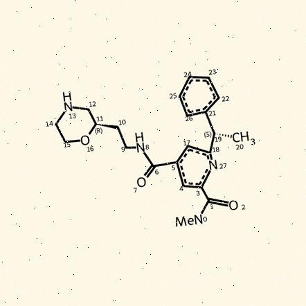 CNC(=O)c1cc(C(=O)NCC[C@@H]2CNCCO2)cc([C@@H](C)c2ccccc2)n1